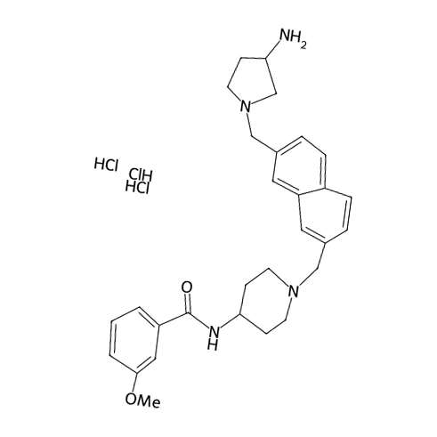 COc1cccc(C(=O)NC2CCN(Cc3ccc4ccc(CN5CCC(N)C5)cc4c3)CC2)c1.Cl.Cl.Cl